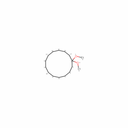 CCOC1(OCC)CCCCCCCCCCCCC1